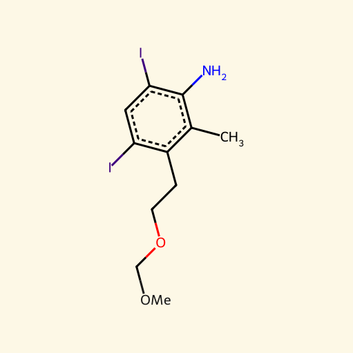 COCOCCc1c(I)cc(I)c(N)c1C